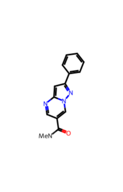 CNC(=O)c1cnc2cc(-c3ccccc3)nn2c1